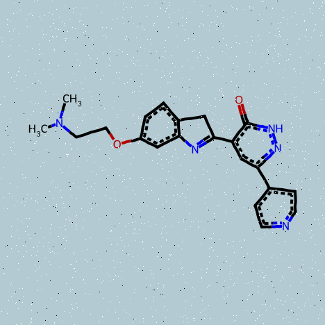 CN(C)CCOc1ccc2c(c1)N=C(c1cc(-c3ccncc3)n[nH]c1=O)C2